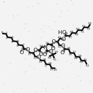 CCCCCCCCC(=O)OCC(COCCCCCC)OC(=O)CN(CC(=O)OC(COC(=O)CCCCCCCC)COC(O)CCCCCCCC)C(=O)OC(C)(C)C